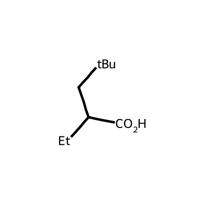 CCC(CC(C)(C)C)C(=O)O